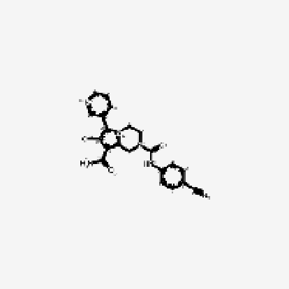 N#Cc1ccc(NC(=O)N2CCn3c(c(C(N)=O)c(Cl)c3-c3cccnc3)C2)cc1